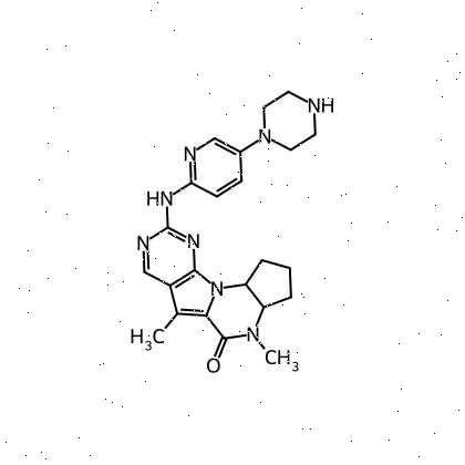 Cc1c2n(c3nc(Nc4ccc(N5CCNCC5)cn4)ncc13)C1CCCC1N(C)C2=O